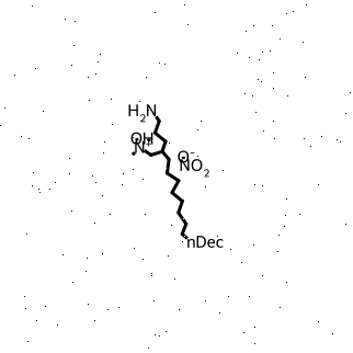 CCCCCCCCCCCCCCCCCCC(CCCN)C[N+](C)(C)O.O=[N+]([O-])[O-]